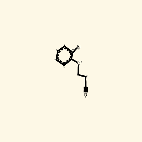 N#CCCOc1ccccc1Br